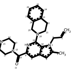 C=CCn1c(C)cc2cc(C(=O)N3CCNCC3)nc(N3CCc4ccccc4C3)c21